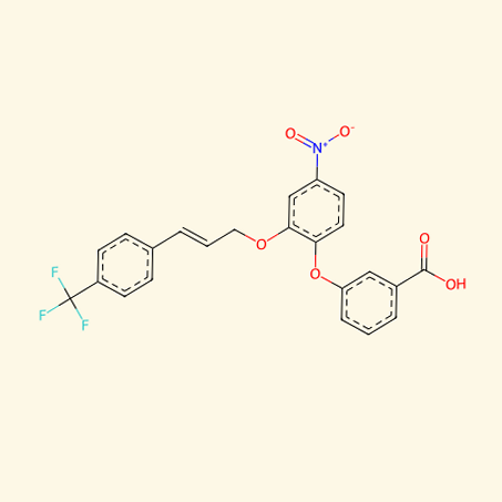 O=C(O)c1cccc(Oc2ccc([N+](=O)[O-])cc2OCC=Cc2ccc(C(F)(F)F)cc2)c1